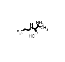 CC(N)C(=O)NCCC(F)(F)F.Cl